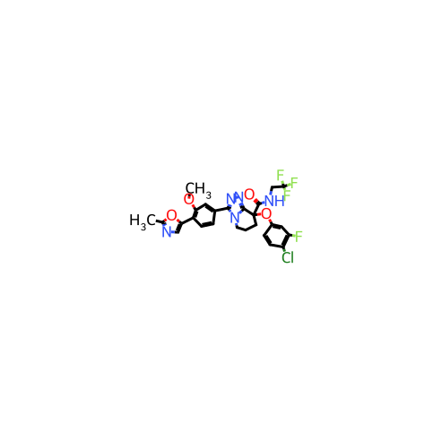 COc1cc(-c2nnc3n2CCCC3(Oc2ccc(Cl)c(F)c2)C(=O)NCC(F)(F)F)ccc1-c1cnc(C)o1